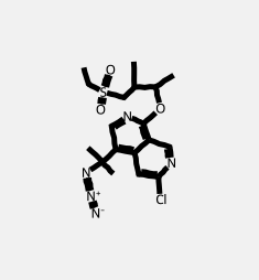 CCS(=O)(=O)CC(C)C(C)Oc1ncc(C(C)(C)N=[N+]=[N-])c2cc(Cl)ncc12